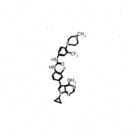 CN1CCN(c2ccc(NC(=O)Nc3ccc(-c4cn(C5CC5)c5ncnc(N)c45)cc3F)cc2C(F)(F)F)CC1